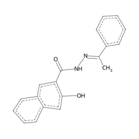 C/C(=N\NC(=O)c1cc2ccccc2cc1O)c1ccccc1